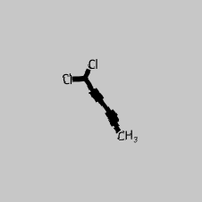 CC#CC#CC(Cl)Cl